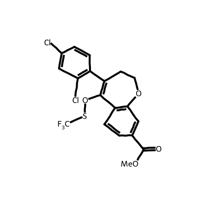 COC(=O)c1ccc2c(c1)OCCC(c1ccc(Cl)cc1Cl)=C2OSC(F)(F)F